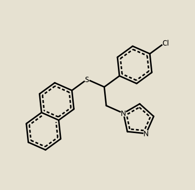 Clc1ccc(C(Cn2ccnc2)Sc2ccc3ccccc3c2)cc1